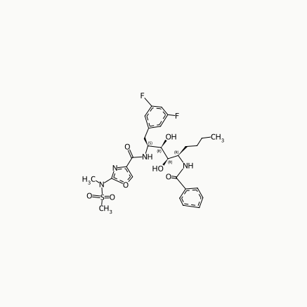 CCCC[C@@H](NC(=O)c1ccccc1)[C@@H](O)[C@H](O)[C@H](Cc1cc(F)cc(F)c1)NC(=O)c1coc(N(C)S(C)(=O)=O)n1